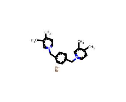 Cc1cc[n+](Cc2ccc(C[n+]3ccc(C)c(C)c3)cc2)cc1C.[Br-].[Br-]